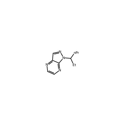 CCCC(CC)n1ncc2nccnc21